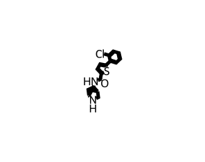 O=C(NC1CC2CC1CN2)c1ccc(-c2ccccc2Cl)s1